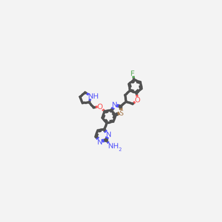 Nc1nccc(-c2cc(OCC3CCCN3)c3nc(C4COc5ccc(F)cc5C4)sc3c2)n1